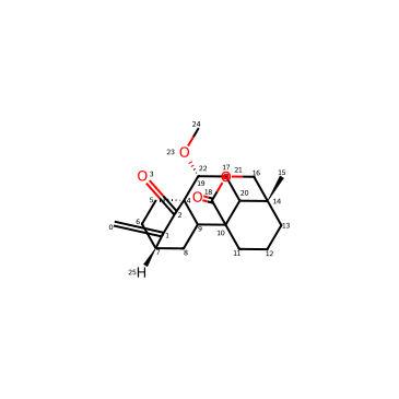 C=C1C(=O)[C@]23CC[C@H]1CC2C12CCC[C@@](C)(COC1=O)C2C[C@H]3OC